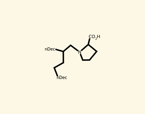 CCCCCCCCCCCCC(CCCCCCCCCC)CN1CCCC1C(=O)O